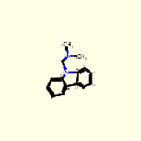 CN(C)Cn1c2ccccc2c2ccccc21